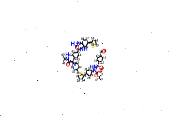 CC(C)(C)OC(=O)N(NC(=O)c1ccc(C=O)cc1)c1ccc(-c2cccs2)cc1.CC1CCN(C(C(=O)NC(C)C)c2ccc(C(=O)Nc3cc(-c4cccs4)ccc3N)cc2)CC1